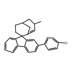 CC1C=C2CC(CCC23c2ccccc2-c2ccc(-c4ccc(Cl)cc4)cc23)C1